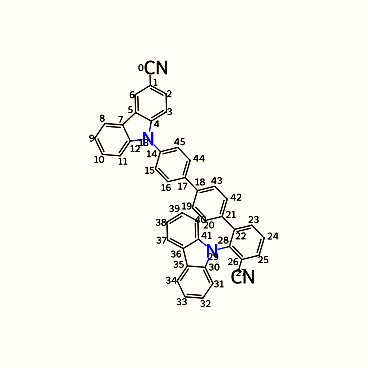 N#Cc1ccc2c(c1)c1ccccc1n2-c1ccc(-c2ccc(-c3cccc(C#N)c3-n3c4ccccc4c4ccccc43)cc2)cc1